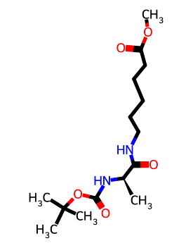 COC(=O)CCCCCNC(=O)[C@@H](C)NC(=O)OC(C)(C)C